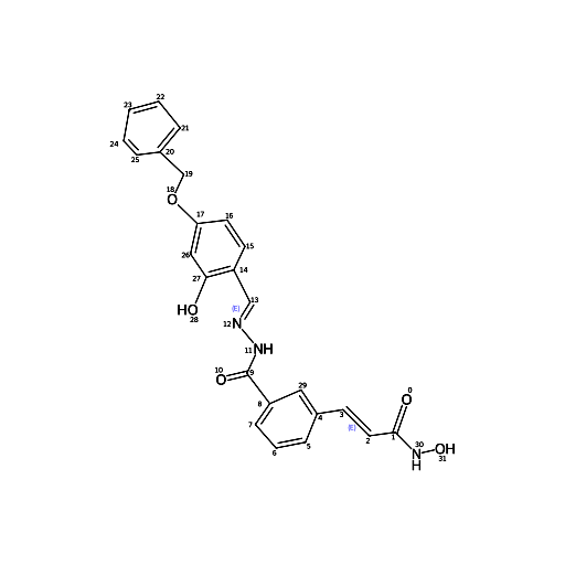 O=C(/C=C/c1cccc(C(=O)N/N=C/c2ccc(OCc3ccccc3)cc2O)c1)NO